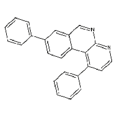 c1ccc(-c2ccc3c(cnc4nccc(-c5ccccc5)c43)c2)cc1